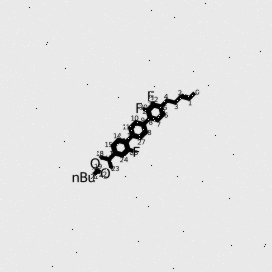 C/C=C/CCc1ccc(-c2ccc(-c3ccc(C4COC(CCCC)OC4)cc3F)cc2)c(F)c1F